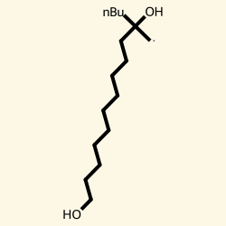 [CH2]C(O)(CCCC)CCCCCCCCCCO